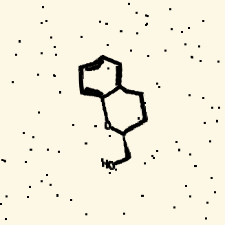 OC[C@@H]1CCc2ccccc2O1